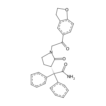 NC(=O)C(c1ccccc1)(c1ccccc1)[C@@H]1CCN(CC(=O)c2ccc3c(c2)CCO3)C1=O